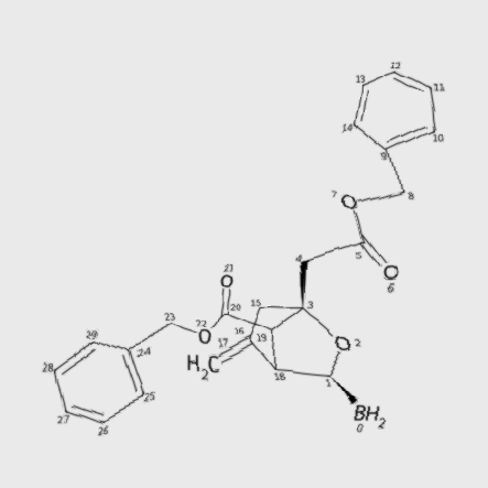 B[C@@H]1O[C@@]2(CC(=O)OCc3ccccc3)CC(=C)C1C2C(=O)OCc1ccccc1